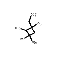 CC1C(N)(CC(=O)O)CC1(C(C)(C)C)C(C)(C)C